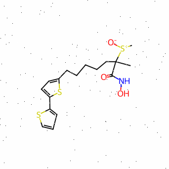 C[S+]([O-])C(C)(CCCCCc1ccc(-c2cccs2)s1)C(=O)NO